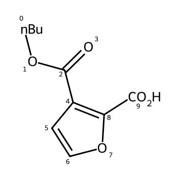 CCCCOC(=O)c1ccoc1C(=O)O